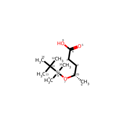 C[C@@H](CCC(=O)O)O[Si](C)(C)C(C)(C)C